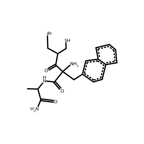 CC(C)CC(CS)C(=O)C(N)(Cc1ccc2ccccc2c1)C(=O)NC(C)C(N)=O